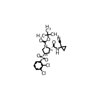 CC(C)(C)OC(=O)N1C[C@H](S(=O)(=O)c2cccc(Cl)c2Cl)C[C@H]1C(=O)NC1(C#N)CC1